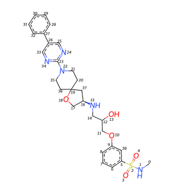 CNS(=O)(=O)c1cccc(OCC(O)CN[C@H]2COC3(CCN(c4ncc(-c5ccccc5)cn4)CC3)C2)c1